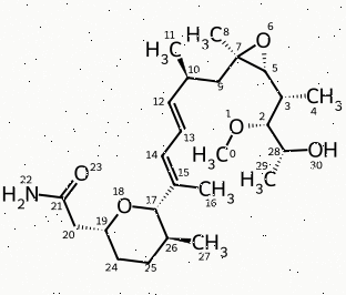 CO[C@H]([C@@H](C)[C@H]1O[C@]1(C)C[C@H](C)/C=C/C=C(\C)[C@H]1O[C@@H](CC(N)=O)CC[C@@H]1C)[C@@H](C)O